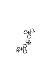 c1cncc(-n2c3ccccc3c3cc(-c4nnc(-c5ccc6c(c5)c5ccccc5n6-c5cccnc5)o4)ccc32)c1